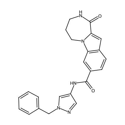 O=C(Nc1cnn(Cc2ccccc2)c1)c1ccc2cc3n(c2c1)CCCNC3=O